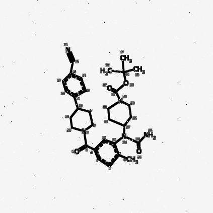 Cc1ccc(C(=O)N2CCC(c3ccc(C#N)cc3)CC2)cc1N(C(N)=O)C1CCN(C(=O)OC(C)(C)C)CC1